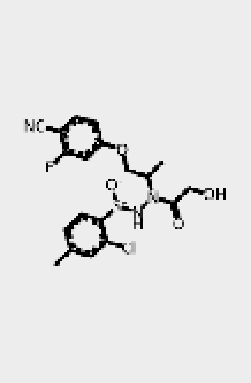 Cc1ccc([S+]([O-])NN(C(=O)CO)C(C)COc2ccc(C#N)c(F)c2)c(Cl)c1